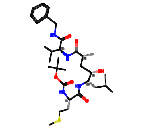 CSCC[C@H](NC(=O)OC(C)(C)C)C(=O)N[C@@H](CC(C)C)[C@@H](O)C[C@@H](C)C(=O)N[C@H](C(=O)NCc1ccccc1)C(C)C